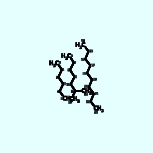 CCCCCC.CCCCCC(C)C.CCCCCCCCCC